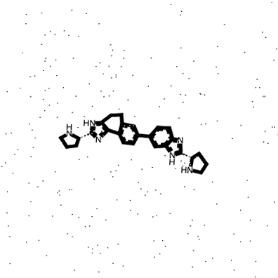 c1cc2c(cc1-c1ccc3nc([C@@H]4CCCN4)[nH]c3c1)CCc1[nH]c([C@@H]3CCCN3)nc1-2